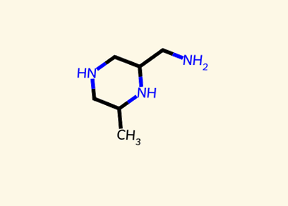 CC1CNCC(CN)N1